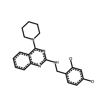 Clc1ccc(CNc2nc(N3CCCCC3)c3ccccc3n2)c(Cl)c1